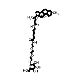 C[C@@H]1CC[C@@]2(C)C(CCC3C2CC[C@@]2(C)C3CC[C@@H]2[C@H](C)CCC(=O)NCCCCCC(=O)NCCOCCOCCO[C@H]2OC(CO)[C@@H](O)[C@H](O)C2O)C1